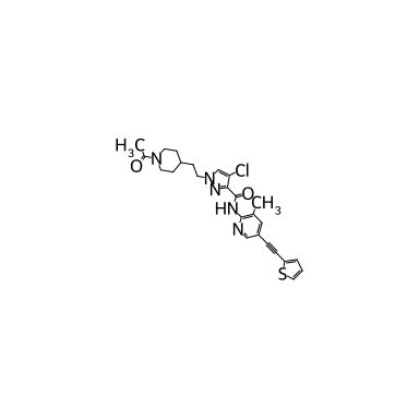 CC(=O)N1CCC(CCn2cc(Cl)c(C(=O)Nc3ncc(C#Cc4cccs4)cc3C)n2)CC1